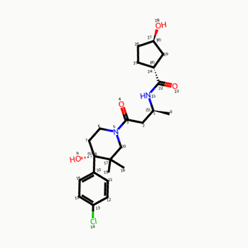 C[C@@H](CC(=O)N1CC[C@](O)(c2ccc(Cl)cc2)C(C)(C)C1)NC(=O)[C@@H]1CC[C@@H](O)C1